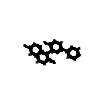 Cc1ccc2c(-c3cc(-c4ccccc4)ccc3C)[n+](C)ccc2c1